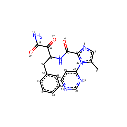 Cc1cnc(C(=O)NC(Cc2ccccc2)C(=O)C(N)=O)n1-c1ccncn1